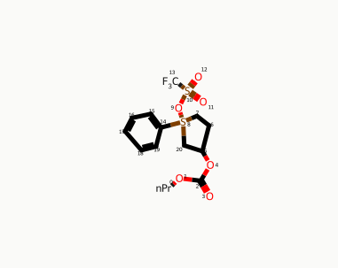 CCCOC(=O)OC1CCS(OS(=O)(=O)C(F)(F)F)(c2ccccc2)C1